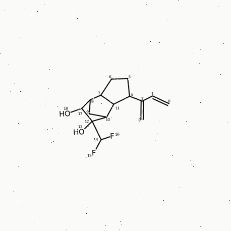 C=CC(=C)C1CCC2C3CC(C12)C(O)(C(F)F)C3O